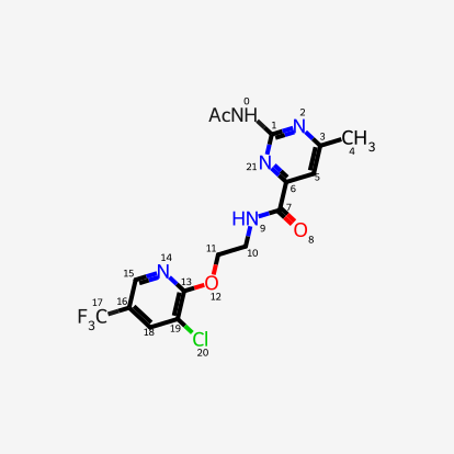 CC(=O)Nc1nc(C)cc(C(=O)NCCOc2ncc(C(F)(F)F)cc2Cl)n1